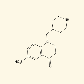 O=C1CCN(CC2CCNCC2)c2ccc(S(=O)(=O)O)cc21